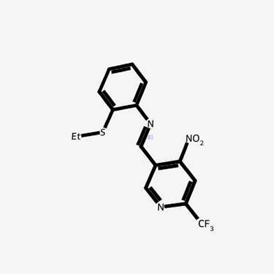 CCSc1ccccc1/N=C/c1cnc(C(F)(F)F)cc1[N+](=O)[O-]